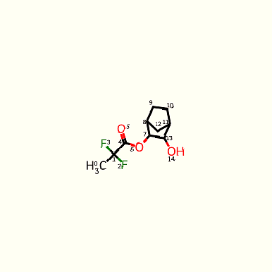 CC(F)(F)C(=O)OC1C2CCC(C2)C1O